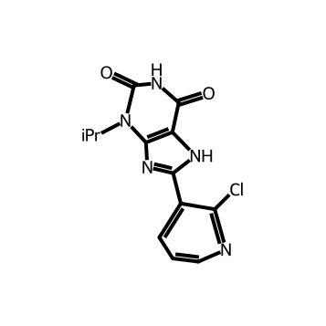 CC(C)n1c(=O)[nH]c(=O)c2[nH]c(-c3cccnc3Cl)nc21